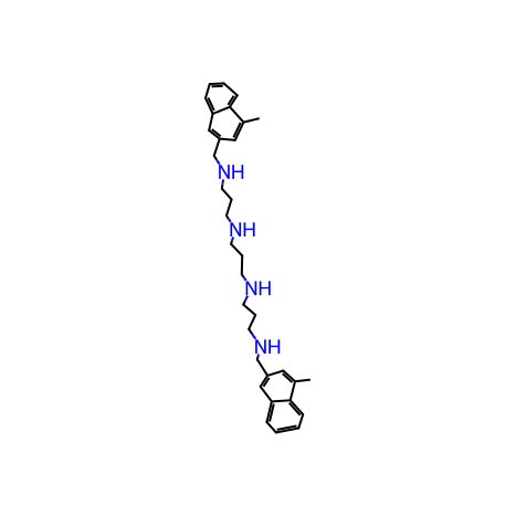 Cc1cc(CNCCCNCCCNCCCNCc2cc(C)c3ccccc3c2)cc2ccccc12